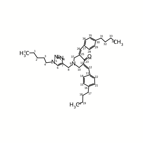 CCCCCn1cc(CN2CC(=Cc3ccc(CCCC)cc3)C(=O)C(=Cc3ccc(CCCC)cc3)C2)nn1